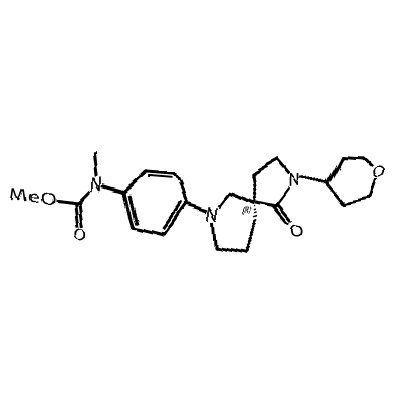 COC(=O)N(C)c1ccc(N2CCC[C@@]3(CCN(C4CCOCC4)C3=O)C2)cc1